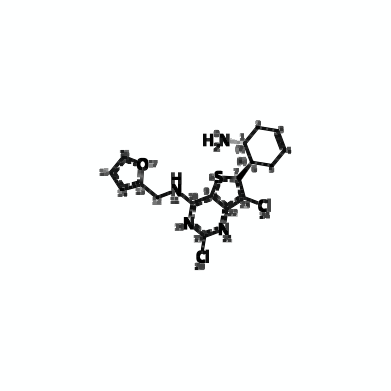 N[C@@H]1CC=CC[C@H]1c1sc2c(NCc3ccco3)nc(Cl)nc2c1Cl